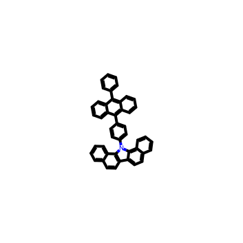 c1ccc(-c2c3ccccc3c(-c3ccc(-n4c5c6ccccc6ccc5c5ccc6ccccc6c54)cc3)c3ccccc23)cc1